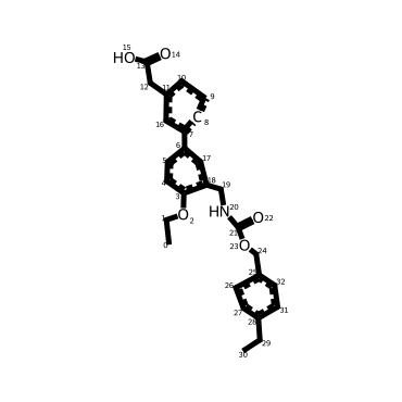 CCOc1ccc(-c2cccc(CC(=O)O)c2)cc1CNC(=O)OCc1ccc(CC)cc1